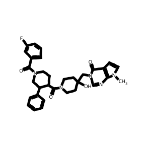 Cn1ccc2c(=O)n(CC3(O)CCN(C(=O)C4CCN(C(=O)c5cccc(F)c5)CC4c4ccccc4)CC3)cnc21